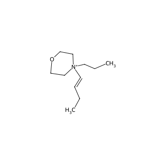 CCC=C[N+]1(CCC)CCOCC1